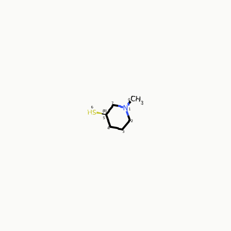 CN1CCC[C@@H](S)C1